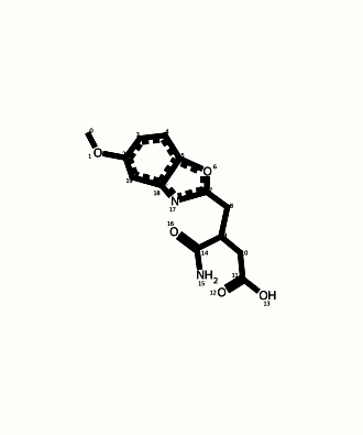 COc1ccc2oc(CC(CC(=O)O)C(N)=O)nc2c1